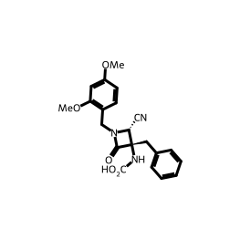 COc1ccc(CN2C(=O)[C@@](Cc3ccccc3)(NC(=O)O)[C@H]2C#N)c(OC)c1